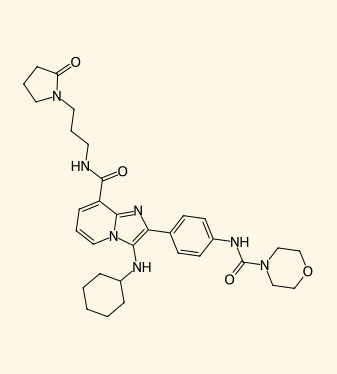 O=C(NCCCN1CCCC1=O)c1cccn2c(NC3CCCCC3)c(-c3ccc(NC(=O)N4CCOCC4)cc3)nc12